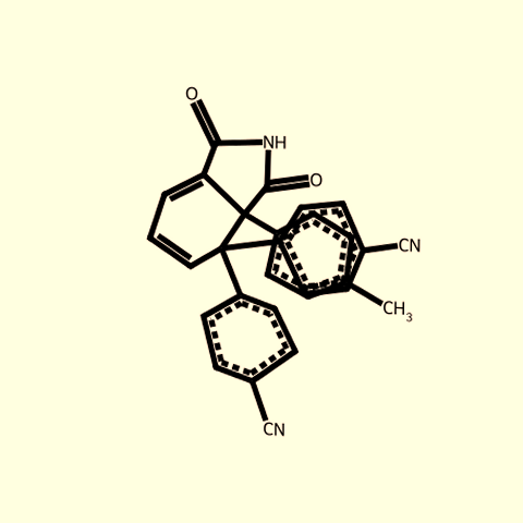 Cc1ccc(C23C(=O)NC(=O)C2=CC=CC3(c2ccc(C#N)cc2)c2ccc(C#N)cc2)cc1